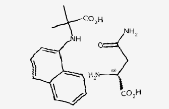 CC(C)(Nc1cccc2ccccc12)C(=O)O.NC(=O)C[C@H](N)C(=O)O